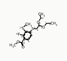 CCOC(CSc1ccc(C(=O)OC)c(F)c1SC)OCC